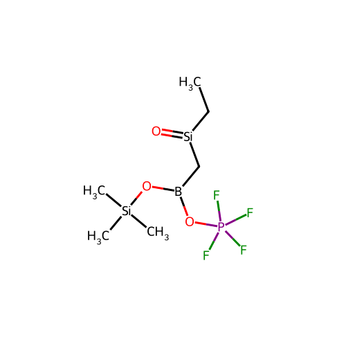 CC[Si](=O)CB(O[Si](C)(C)C)OP(F)(F)(F)F